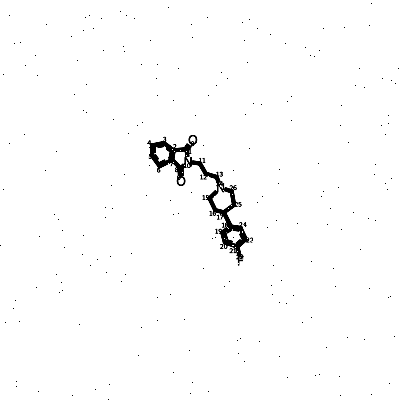 O=C1c2ccccc2C(=O)N1CCCN1CCC(c2ccc(F)cc2)CC1